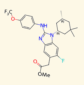 COC(=O)Cc1cc2nc(Nc3ccc(OC(F)(F)F)cc3)n([C@@H]3C[C@H](C)CC(C)(C)C3)c2cc1F